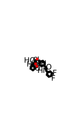 CC(O)[C@]1(O)CC2CC[C@@H](C1)[C@H]2S(=O)(=O)c1cc(C(=O)Nc2ccc(F)c(F)c2)ccc1Cl